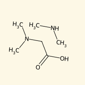 CN(C)CC(=O)O.CNC